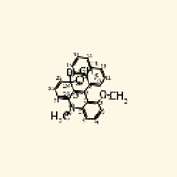 COc1cccc2c1C(c1cccc3ccccc13)=C1C(=CC=CC1(Br)OC)N2C